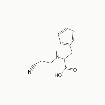 N#CCCNC(Cc1ccccc1)C(=O)O